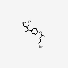 CC(C)CCCC(C)Oc1ccc(C(=O)N(CC(C)C)CC(C)C)cc1